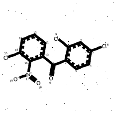 O=C(c1ccc(Cl)cc1Cl)c1cccc(Cl)c1[N+](=O)[O-]